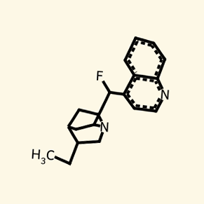 CCC1CN2CCC1CC2C(F)c1ccnc2ccccc12